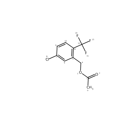 CC(=O)OCc1cc(Cl)ccc1C(F)(F)F